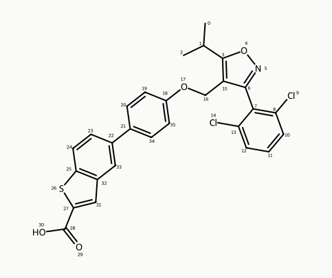 CC(C)c1onc(-c2c(Cl)cccc2Cl)c1COc1ccc(-c2ccc3sc(C(=O)O)cc3c2)cc1